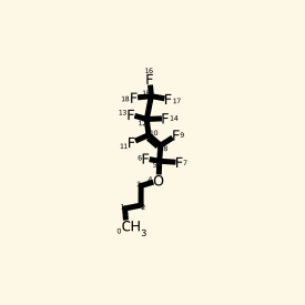 CCCCOC(F)(F)C(F)=C(F)C(F)(F)C(F)(F)F